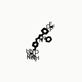 N=N/C(=N\N)NC(=O)c1ccc(Cc2cc(-c3ccc(OC(F)(F)F)cc3)n(C3CCCCC3)n2)cc1